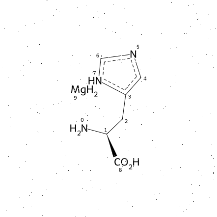 N[C@@H](Cc1cnc[nH]1)C(=O)O.[MgH2]